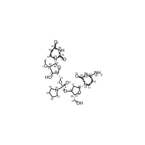 CO[C@@H]1C(O)[C@@H](COP(=O)(OC2C[C@H](n3ccc(N)nc3=O)O[C@@H]2CO)N2CCCC2)O[C@H]1n1ccc(=O)[nH]c1=O